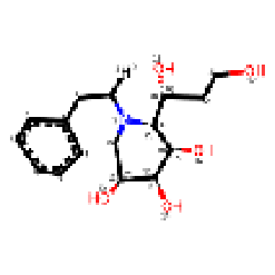 [2H]C(Cc1ccccc1)N1C[C@H](O)[C@H](O)[C@H](O)[C@@H]1[C@H](O)CCO